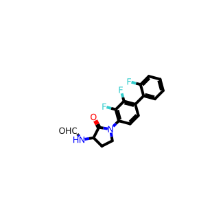 O=CNC1CCN(c2ccc(-c3ccccc3F)c(F)c2F)C1=O